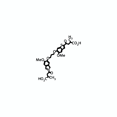 COc1cc2c(cc1OCCCOc1cc3sc(C(=O)CC(C)C(=O)O)cc3cc1OC)CN(C(=O)CC(C)C(=O)O)C2